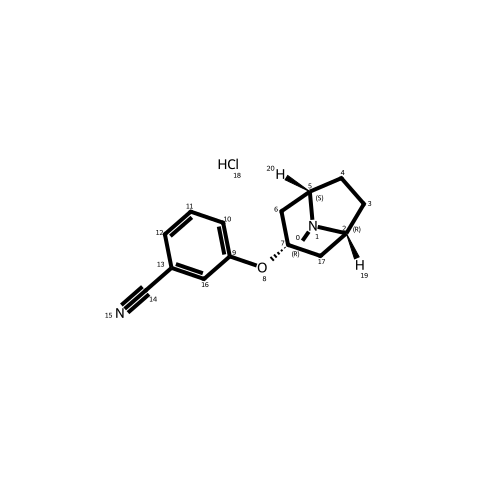 CN1[C@@H]2CC[C@H]1C[C@@H](Oc1cccc(C#N)c1)C2.Cl